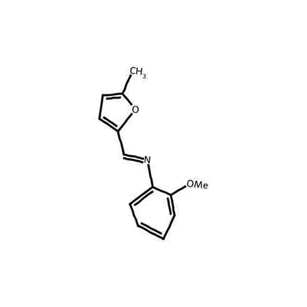 COc1ccccc1N=Cc1ccc(C)o1